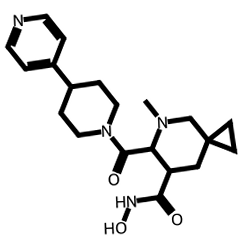 CN1CC2(CC2)CC(C(=O)NO)C1C(=O)N1CCC(c2ccncc2)CC1